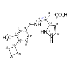 Cc1cc(CN/C=C(/CC(=O)O)C2C=CNN2)cnc1C1CCC1